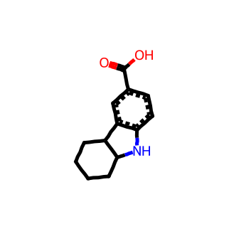 O=C(O)c1ccc2c(c1)C1CCCCC1N2